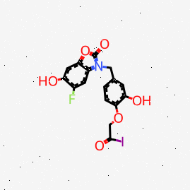 O=C(I)COc1ccc(Cn2c(=O)oc3cc(O)c(F)cc32)cc1O